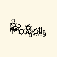 O=C(N[C@H]1CC[C@H](Cn2c(=O)n(-c3ccc(NCC(F)(F)F)nc3)c3ccccc32)CC1)c1cc(Cl)cnc1C(F)(F)F